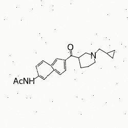 CC(=O)Nc1ccc2cc(C(=O)C3CCCN(CC4CC4)C3)ccc2c1